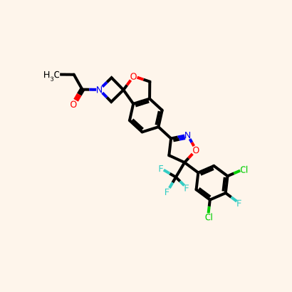 CCC(=O)N1CC2(C1)OCc1cc(C3=NOC(c4cc(Cl)c(F)c(Cl)c4)(C(F)(F)F)C3)ccc12